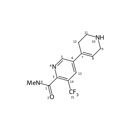 CNC(=O)c1ncc(C2=CCNCC2)cc1C(F)(F)F